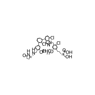 COc1cc(Cn2ncc3c(-c4cccc(-c5ccc(CNC[C@@H]6CCC(=O)N6)c(OC)c5)c4Cl)ccc(Cl)c32)c(Cl)cc1CCC[C@@H](CO)C(=O)O